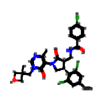 COc1cc(F)c([C@@H]2CN(c3c(C)ncn(CC4(C)COC4)c3=O)C(=O)C2CNC(=O)c2ccc(Cl)cc2)c(F)c1